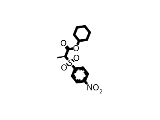 C[C@@H](C(=O)OC1CCCCC1)S(=O)(=O)c1ccc([N+](=O)[O-])cc1